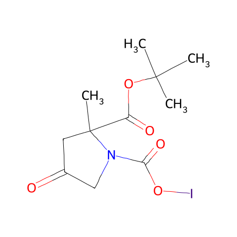 CC(C)(C)OC(=O)C1(C)CC(=O)CN1C(=O)OI